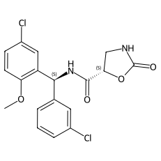 COc1ccc(Cl)cc1[C@@H](NC(=O)[C@@H]1CNC(=O)O1)c1cccc(Cl)c1